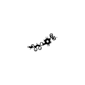 CCOC(=O)CC(=O)OCc1ccc([N+](=O)[O-])cc1